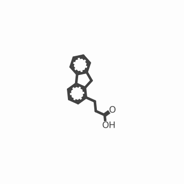 O=C(O)CCc1cccc2c1Cc1ccccc1-2